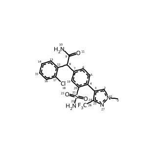 Cn1cc(-c2ccc(C(C(N)=O)c3ccccc3Cl)cc2S(N)(=O)=O)c(C(F)(F)F)n1